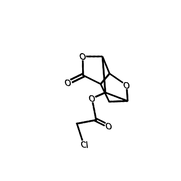 O=C(CCl)OC1C2CC3C(=O)OC1C3O2